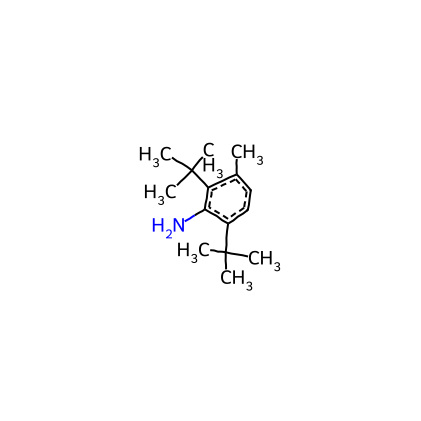 Cc1ccc(C(C)(C)C)c(N)c1C(C)(C)C